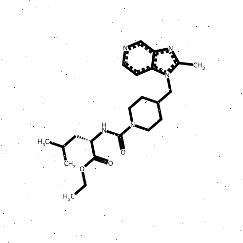 CCOC(=O)[C@H](CC(C)C)NC(=O)N1CCC(Cn2c(C)nc3cnccc32)CC1